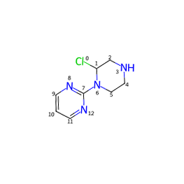 ClC1CNCCN1c1ncccn1